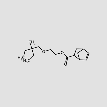 CCC(C)(CC)COCCOC(=O)C1CC2C=CC1C2